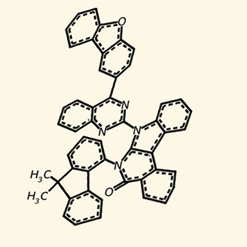 CC1(C)c2ccccc2-c2c(-n3c(=O)c4ccccc4c4c5ccccc5n(-c5nc(-c6ccc7oc8ccccc8c7c6)c6ccccc6n5)c43)cccc21